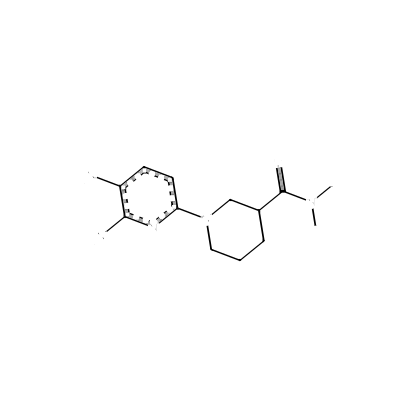 CCN(C)C(=O)C1CCCN(c2ccc([N+](=O)[O-])c(N)n2)C1